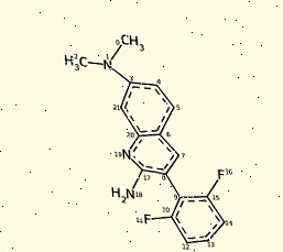 CN(C)c1ccc2cc(-c3c(F)cccc3F)c(N)nc2c1